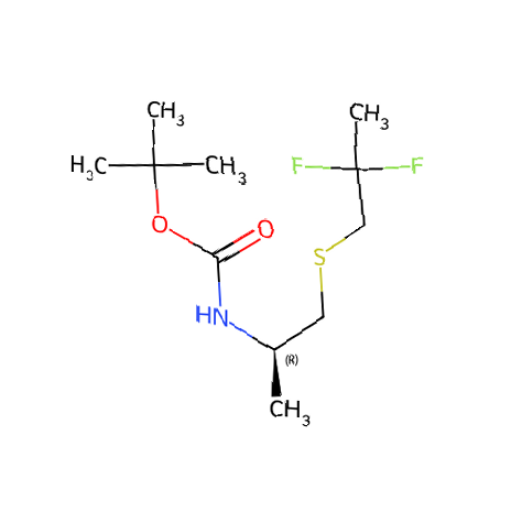 C[C@H](CSCC(C)(F)F)NC(=O)OC(C)(C)C